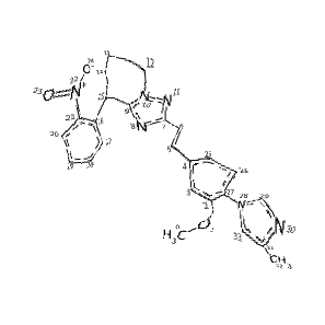 COc1cc(C=Cc2nc3n(n2)CCCC3c2ccccc2[N+](=O)[O-])ccc1-n1cnc(C)c1